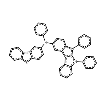 c1ccc(N(c2ccc3sc4ccccc4c3c2)c2ccc3c(c2)c2c4ccccc4n(-c4ccccc4)c2n3-c2ccccc2)cc1